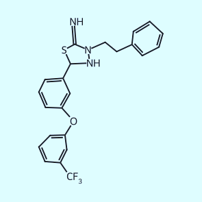 N=C1SC(c2cccc(Oc3cccc(C(F)(F)F)c3)c2)NN1CCc1ccccc1